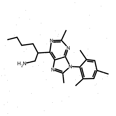 CCCCC(CN)c1nc(C)nc2c1nc(C)n2-c1c(C)cc(C)cc1C